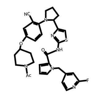 CC(=O)N1CCC(Oc2ccc(N3CCCC3c3csc(NC(=O)c4cccn4Cc4ccnc(F)c4)n3)c(C#N)c2)CC1